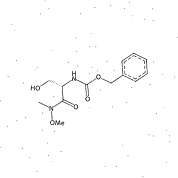 CON(C)C(=O)[C@H](CO)NC(=O)OCc1ccccc1